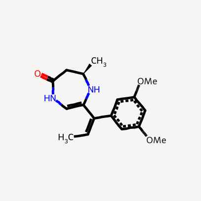 C/C=C(\C1=CNC(=O)C[C@@H](C)N1)c1cc(OC)cc(OC)c1